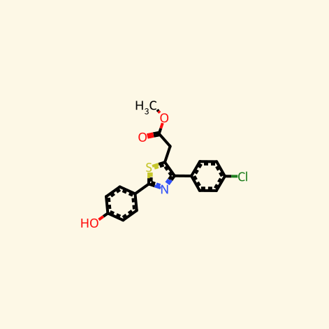 COC(=O)Cc1sc(-c2ccc(O)cc2)nc1-c1ccc(Cl)cc1